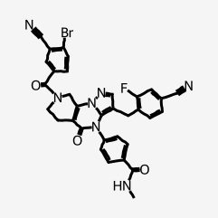 CNC(=O)c1ccc(-n2c(=O)c3c(n4ncc(Cc5ccc(C#N)cc5F)c24)CN(C(=O)c2ccc(Br)c(C#N)c2)CC3)cc1